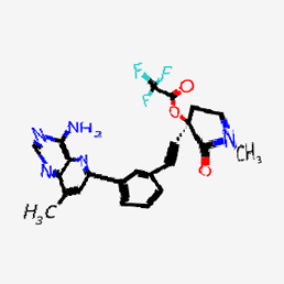 Cc1cc(-c2cccc(C#C[C@]3(OC(=O)C(F)(F)F)CCN(C)C3=O)c2)nc2c(N)ncnc12